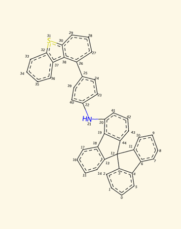 c1ccc2c(c1)-c1ccccc1C21c2ccccc2-c2c(Nc3ccc(-c4cccc5sc6ccccc6c45)cc3)cccc21